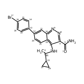 C[C@@H](Nc1c(C(N)=O)nnc2cc(-c3ccc(Br)cc3)ccc12)C1CC1